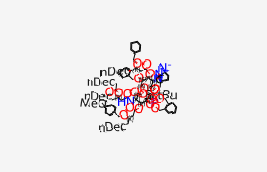 CCCCCCCCCCCC(=O)O[C@H](CCCCCCCCCCC)CC(=O)N[C@H]1[C@H](OC[C@H]2O[C@@H](O[Si](C)(C)C(C)(C)C)[C@H](N=[N+]=[N-])[C@@H](OC(=O)C[C@@H](CCCCCCCCCCC)OCc3ccccc3)[C@@H]2OCc2ccccc2)O[C@H](COCc2ccccc2)[C@@H](OP2(=O)OCc3ccccc3CO2)[C@@H]1OC(=O)C[C@@H](CCCCCCCCCCC)OCc1ccc(OC)cc1